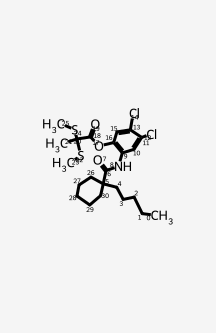 CCCCCC1(C(=O)Nc2cc(Cl)c(Cl)cc2OC(=O)C(C)(SC)SC)CCCCC1